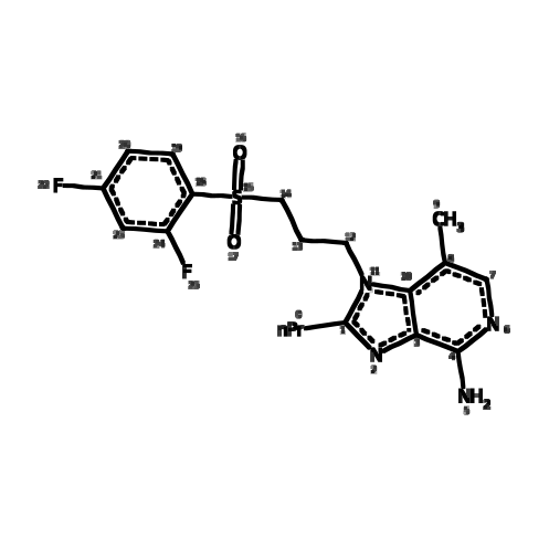 CCCc1nc2c(N)ncc(C)c2n1CCCS(=O)(=O)c1ccc(F)cc1F